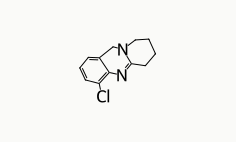 Clc1cccc2c1N=C1CCCCN1C2